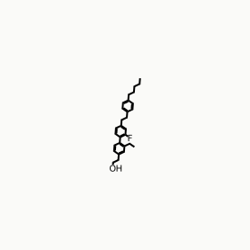 CCCCCc1ccc(CCc2ccc(-c3ccc(CCO)cc3CC)c(F)c2)cc1